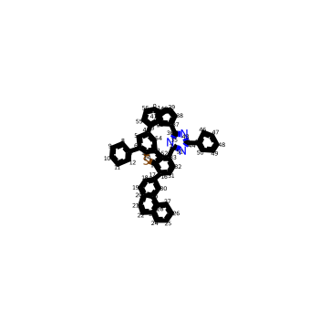 c1ccc(-c2cc(-c3ccccc3)c3sc4c(-c5ccc6ccc7ccccc7c6c5)ccc(-c5nc(-c6ccccc6)nc(-c6ccccc6)n5)c4c3c2)cc1